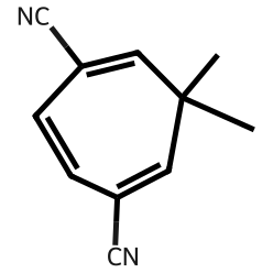 CC1(C)C=C(C#N)C=CC(C#N)=C1